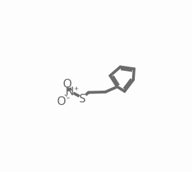 O=[N+]([O-])SCCc1ccccc1